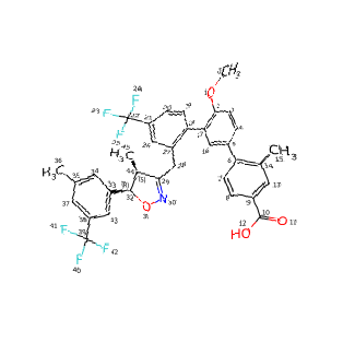 COc1ccc(-c2ccc(C(=O)O)cc2C)cc1-c1ccc(C(F)(F)F)cc1CC1=NO[C@@H](c2cc(C)cc(C(F)(F)F)c2)[C@H]1C